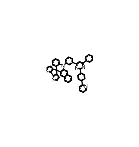 c1ccc(-c2cc(-c3cccc(N4c5ccccc5C5(c6cc7ccccc7cc64)c4ccsc4-c4sccc45)c3)nc(-c3ccc(-c4ccccn4)cc3)n2)cc1